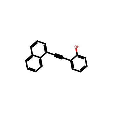 Oc1ccccc1C#Cc1cccc2ccccc12